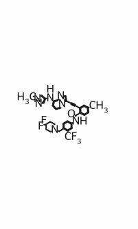 Cc1ccc(C(=O)Nc2ccc(CN3CCC(F)(F)CC3)c(C(F)(F)F)c2)c(C#Cc2cnc3c(Nc4cnn(C)c4)cccn23)c1